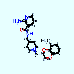 Cc1cccc2c1O[C@@H](CN1CCC(CNC(=O)c3cccnc3N)CC1)CO2